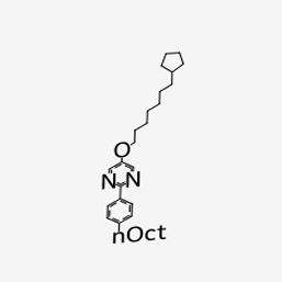 CCCCCCCCc1ccc(-c2ncc(OCCCCCCCC3CCCC3)cn2)cc1